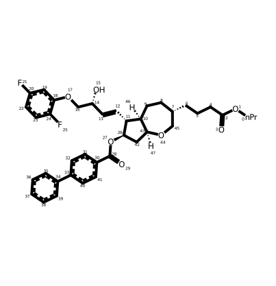 CCCOC(=O)CCC[C@H]1CC[C@@H]2[C@@H](/C=C/[C@@H](O)COc3cc(F)ccc3F)[C@H](OC(=O)c3ccc(-c4ccccc4)cc3)C[C@@H]2OC1